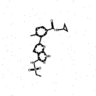 CCS(=O)(=O)Nc1n[nH]c2nc(-c3cc(C(=O)NC4CC4)ccc3C)ccc12